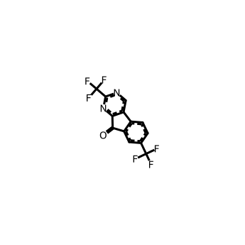 O=C1c2cc(C(F)(F)F)ccc2-c2cnc(C(F)(F)F)nc21